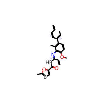 C=C/C=C\C(=C/C)c1ccc(OC)c(/N=C(/BC(=O)c2cbc(C)o2)C=C)c1C